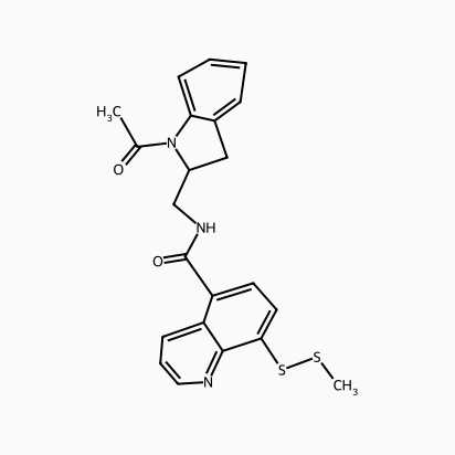 CSSc1ccc(C(=O)NCC2Cc3ccccc3N2C(C)=O)c2cccnc12